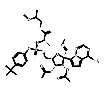 CN=C[C@@]1(c2ccc3c(N)ncnn23)O[C@H](COP(=O)(N[C@@H](C)C(=O)OCC(C)OC)Oc2ccc(C(C)(C)C)cc2)[C@@H](OC(C)=O)[C@H]1OC(C)=O